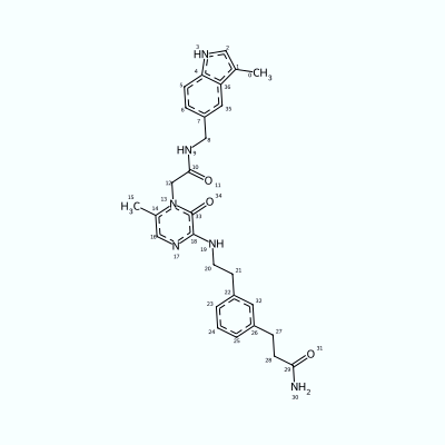 Cc1c[nH]c2ccc(CNC(=O)Cn3c(C)cnc(NCCc4cccc(CCC(N)=O)c4)c3=O)cc12